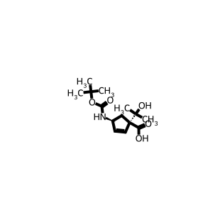 CC(C)(C)OC(=O)N[C@@H]1C=C[C@@](C(=O)O)(C(C)(C)O)C1